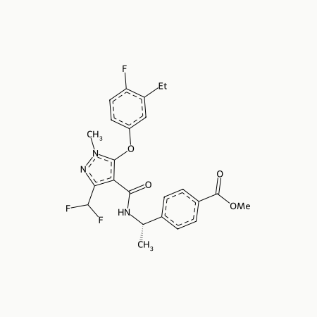 CCc1cc(Oc2c(C(=O)N[C@@H](C)c3ccc(C(=O)OC)cc3)c(C(F)F)nn2C)ccc1F